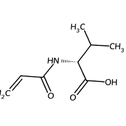 C=CC(=O)N[C@@H](C(=O)O)C(C)C